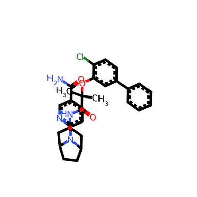 CC(C)(Oc1cc(-c2ccccc2)ccc1Cl)C(=O)NC1CC2CCC(C1)N2c1ccc(C(N)=O)cn1